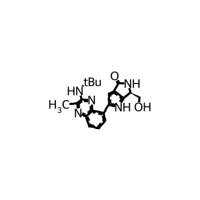 Cc1nc2cccc(-c3cc4c([nH]3)[C@H](CO)NC4=O)c2nc1NC(C)(C)C